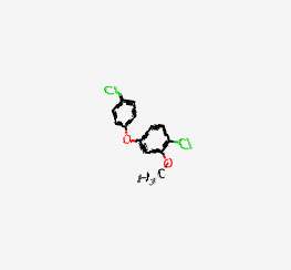 COc1cc(Oc2ccc(Cl)cc2)ccc1Cl